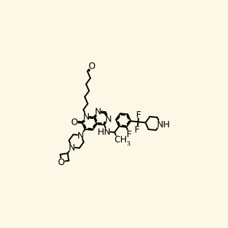 CC(Nc1ncnc2c1cc(N1CCN(C3COC3)CC1)c(=O)n2CCCCCCC=O)c1cccc(C(F)(F)C2CCNCC2)c1F